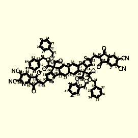 N#Cc1cc2c(cc1C#N)C(=O)C(=Cc1cc3c(s1)C1=CC4C=C5C(=CC4C=C1C3(C(=O)OCc1ccccc1)C(=O)OCc1ccccc1)c1sc(/C=C3\C(=O)c4cc(C#N)c(C#N)nc4C3=O)cc1C5(C(=O)OCc1ccccc1)C(=O)OCc1ccccc1)C2=O